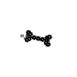 C=Nc1c(/C(=C2/C=CC3=C(C=CCC3)C2)c2ccc(-c3ccc(-c4ccc(-c5c6ccc7c(c6nc6c5ccc5ccccc56)C=CCC7)cc4)cc3)cc2)ccc2ccccc12